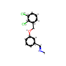 C/N=C/c1cccc(OCc2cccc(Cl)c2Cl)c1